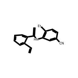 C=Cc1ccccc1C(=C)Nc1cc(C#N)ccc1CC